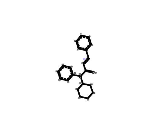 O=C(/C=C/c1ccccc1)N(c1ccccc1)C1CCCCC1